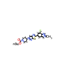 CCCCOC(=O)N1CCC(n2cc3nc(-c4cc(F)c5nn(C)cc5c4)sc3n2)CC1